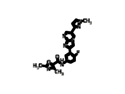 Cc1nc(C)c(C(=O)Nc2ccc(F)c(-c3cn4cc(-c5ccn(C)n5)cnc4n3)c2)o1